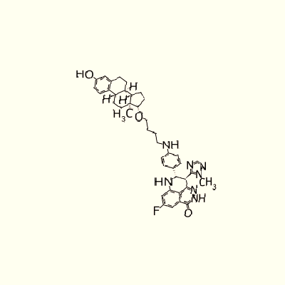 Cn1ncnc1[C@H]1c2n[nH]c(=O)c3cc(F)cc(c23)N[C@@H]1c1ccc(NCCCCO[C@H]2CC[C@H]3[C@@H]4CCc5cc(O)ccc5[C@H]4CC[C@]23C)cc1